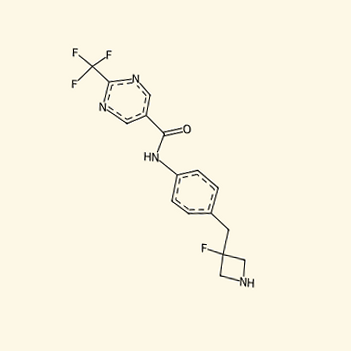 O=C(Nc1ccc(CC2(F)CNC2)cc1)c1cnc(C(F)(F)F)nc1